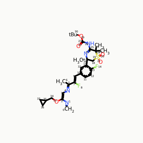 C=N\C(=C/N=C(C)/C(F)=C/c1ccc(F)c([C@]2(C)CS(=O)(=O)C(C)(C)C(NC(=O)OC(C)(C)C)=N2)c1)OCC1CC1